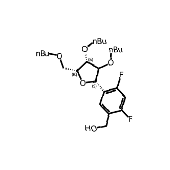 CCCCOC[C@H]1O[C@@H](c2cc(CO)c(F)cc2F)C(OCCCC)[C@H]1OCCCC